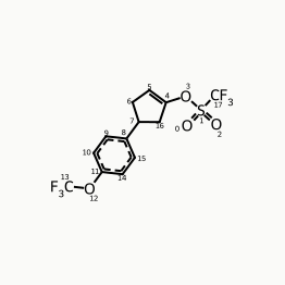 O=S(=O)(OC1=CCC(c2ccc(OC(F)(F)F)cc2)C1)C(F)(F)F